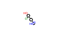 Oc1ccc(-c2ccc(-c3ncc[nH]3)cc2)c(Cl)c1